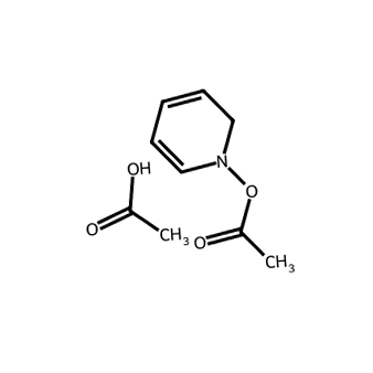 CC(=O)O.CC(=O)ON1C=CC=CC1